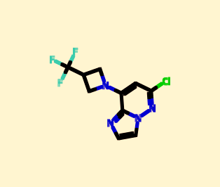 FC(F)(F)C1CN(c2cc(Cl)nn3ccnc23)C1